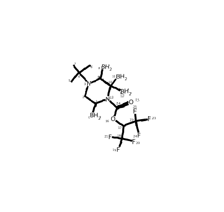 BC1CN(C(C)(C)C)C(B)C(B)(B)N1C(=O)OC(C(F)(F)F)C(F)(F)F